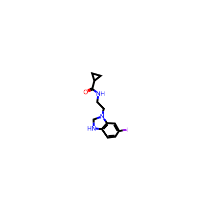 O=C(NCCN1CNc2ccc(I)cc21)C1CC1